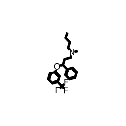 CCCCN(C)CCC(Oc1cccc(C(F)(F)F)c1)c1ccccc1